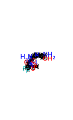 CC(C)(C)OC(=O)Nc1cc(F)c(F)cc1C(=O)NCC(=O)C(N)C1CCN(Cc2ccc(O)c(N)c2)CC1